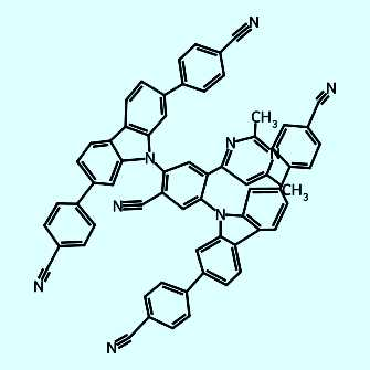 Cc1cc(-c2cc(-n3c4cc(-c5ccc(C#N)cc5)ccc4c4ccc(-c5ccc(C#N)cc5)cc43)c(C#N)cc2-n2c3cc(-c4ccc(C#N)cc4)ccc3c3ccc(-c4ccc(C#N)cc4)cc32)nc(C)n1